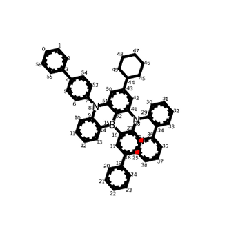 c1ccc(-c2ccc(N3c4ccccc4B4c5cc(-c6ccccc6)ccc5N(c5ccccc5-c5ccccn5)c5cc(C6CCCCC6)cc3c54)cc2)cc1